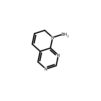 BN1CC=Cc2cncnc21